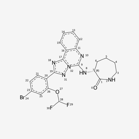 O=C1NCCCC[C@H]1Nc1nc2ccccc2c2nc(-c3ccc(Br)cc3OC(F)F)nn12